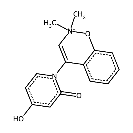 C[N+]1(C)C=C(n2ccc(O)cc2=O)c2ccccc2O1